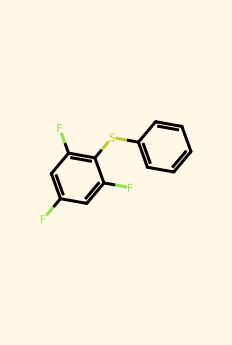 Fc1cc(F)c(Sc2ccccc2)c(F)c1